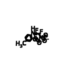 Cc1ccc(NC(F)(F)C(F)C([N+](=O)[O-])[N+](=O)[O-])cc1